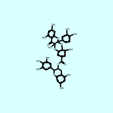 O=C(OC1Cc2c(O)cc(O)cc2OC1c1cc(O)c(O)c(O)c1)c1cc(O)c2c(c1)OC1(O)C(=O)c3c(O)cc(O)cc3OC1(c1ccc(O)c(O)c1)O2